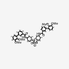 COc1cccc(-c2cccc(C(=O)NC3CCN(OP(=O)(Cl)ON4CCC(NC(=O)c5cccc(-c6cccc(OC)c6OC)c5)CC4)CC3)c2)c1OC